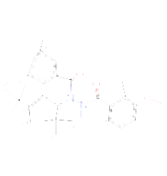 COc1cccc(C(=O)NN(C(=O)c2cc(C)cc(C)c2)C(C=C(C)C(C)(C)C)C(C)(C)C)c1C